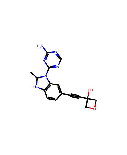 CC1Nc2ccc(C#CC3(O)COC3)cc2N1c1ncnc(N)n1